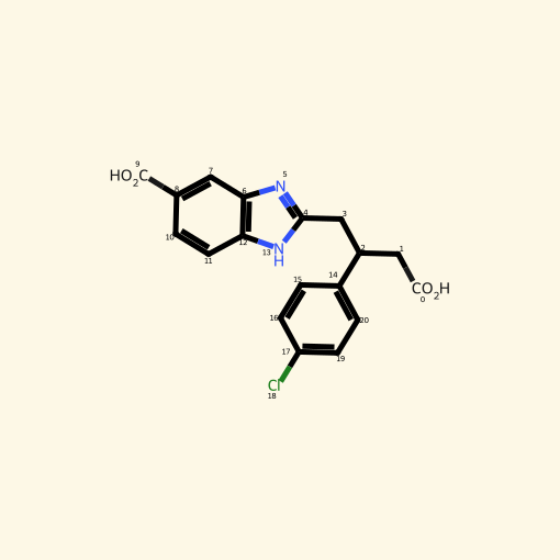 O=C(O)CC(Cc1nc2cc(C(=O)O)ccc2[nH]1)c1ccc(Cl)cc1